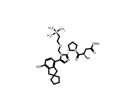 COC(=O)C[C@H](C(=O)N1CCC[C@H]1c1ncc(-c2ccc(O)c3c2CC2(CCCC2)C3)n1COCC[Si](C)(C)C)C(C)C